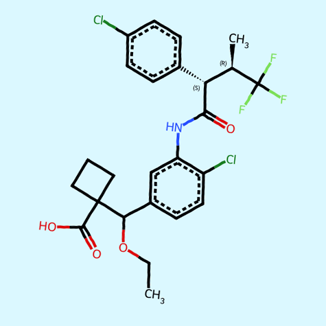 CCOC(c1ccc(Cl)c(NC(=O)[C@H](c2ccc(Cl)cc2)[C@@H](C)C(F)(F)F)c1)C1(C(=O)O)CCC1